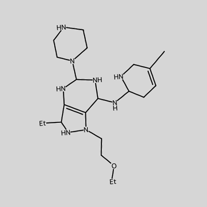 CCOCCN1NC(CC)C2=C1C(NC1CC=C(C)CN1)NC(N1CCNCC1)N2